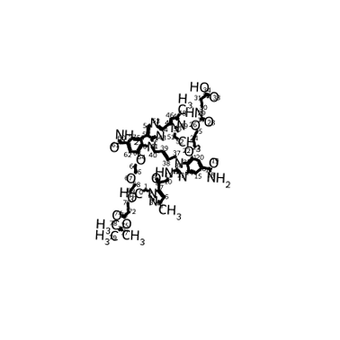 CCn1nc(C)cc1C(=O)CNc1nc2cc(C(N)=O)cc(OCCCOC(=O)NCCC(=O)O)c2n1C/C=C/Cn1c2nc(-c3cc(C)nn3CC)ncc2c2cc(C(N)=O)cc(OCCOCCOCCC(=O)OC(C)(C)C)c21